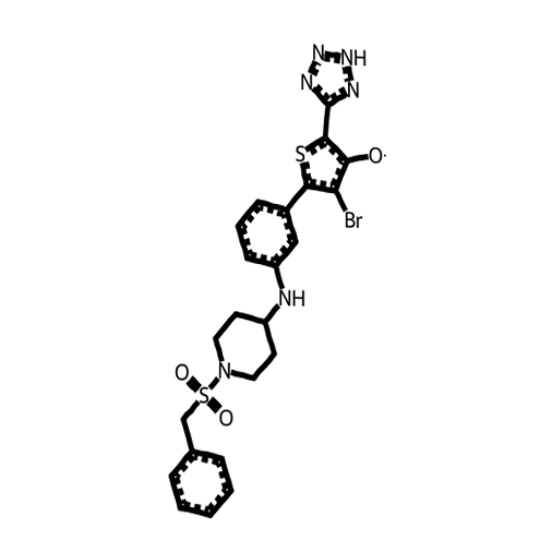 [O]c1c(-c2nn[nH]n2)sc(-c2cccc(NC3CCN(S(=O)(=O)Cc4ccccc4)CC3)c2)c1Br